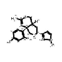 CC(C)n1ccc([C@H]2C[C@H]3CSC(N)=N[C@@]3(c3ccc(F)cc3F)CO2)n1